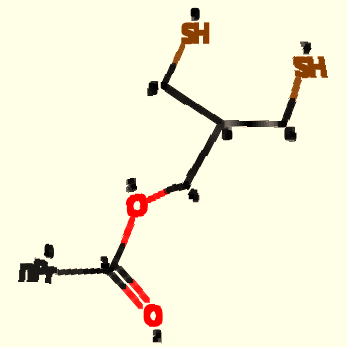 CCCC(=O)OCC(CS)CS